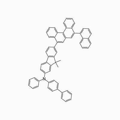 CC1(C)c2cc(-c3cc4cc(-c5cccc6ccccc56)c5ccccc5c4c4ccccc34)ccc2-c2ccc(N(c3ccccc3)c3ccc(-c4ccccc4)cc3)cc21